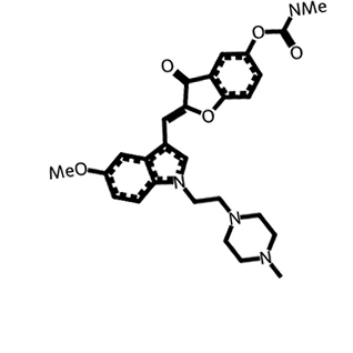 CNC(=O)Oc1ccc2c(c1)C(=O)/C(=C/c1cn(CCN3CCN(C)CC3)c3ccc(OC)cc13)O2